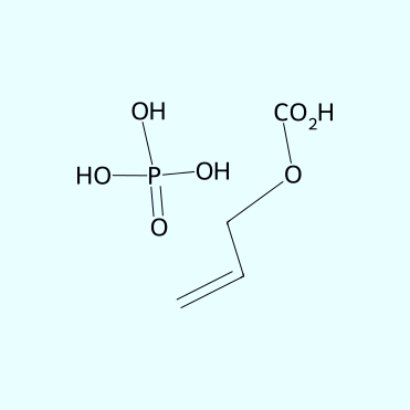 C=CCOC(=O)O.O=P(O)(O)O